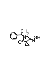 CC(c1ccccc1)N1CC(=NO)C2(CC2)C1=O